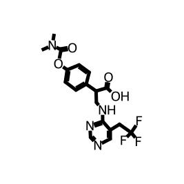 CN(C)C(=O)Oc1ccc(C(CNc2ncncc2CC(F)(F)F)C(=O)O)cc1